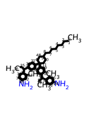 CCCCCCCCCC1CCC(c2ccc(C(CC)c3ccc(N)cc3C)cc2)(c2ccc(C(CC)c3ccc(N)cc3C)cc2)CC1